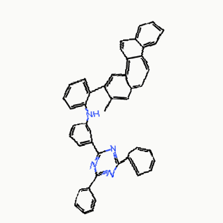 Cc1cc2ccc3c4ccccc4ccc3c2cc1-c1ccccc1Nc1cccc(-c2nc(-c3ccccc3)nc(-c3ccccc3)n2)c1